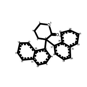 O=C1OCCCC1(c1cccc2ccccc12)c1cccc2ccccc12